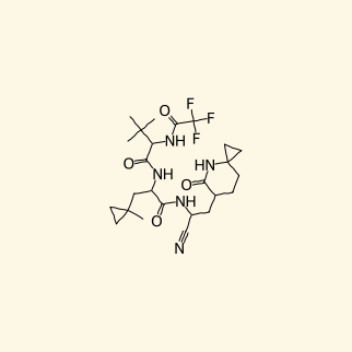 CC1(CC(NC(=O)C(NC(=O)C(F)(F)F)C(C)(C)C)C(=O)NC(C#N)CC2CCC3(CC3)NC2=O)CC1